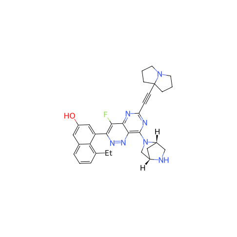 CCc1cccc2cc(O)cc(-c3nnc4c(N5C[C@@H]6C[C@H]5CN6)nc(C#CC56CCCN5CCC6)nc4c3F)c12